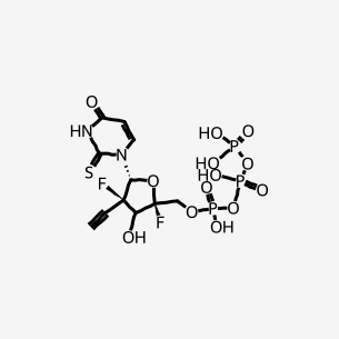 C#C[C@@]1(F)C(O)[C@@](F)(COP(=O)(O)OP(=O)(O)OP(=O)(O)O)O[C@H]1n1ccc(=O)[nH]c1=S